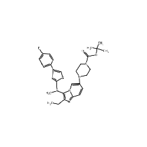 CCc1nc2ccc(N3CCN(C(=O)OC(C)(C)C)CC3)cn2c1N(C)c1nc(-c2ccc(F)cc2)cs1